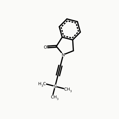 C[Si](C)(C)C#CN1Cc2ccccc2C1=O